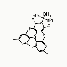 BC(CCC)(CCC)c1c(F)c(F)c(B(c2c(C)cc(C)cc2C)c2c(C)cc(C)cc2C)c(F)c1F